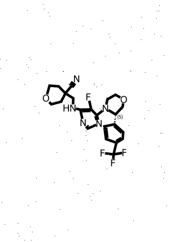 N#CC1(CNc2ncnc(N3CCOC[C@@H]3c3ccc(C(F)(F)F)cc3)c2F)CCOCC1